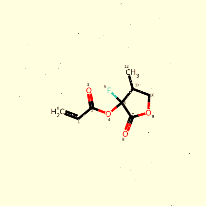 C=CC(=O)OC1(F)C(=O)OCC1C